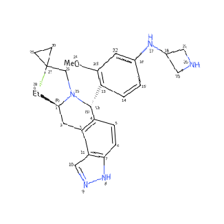 CC[C@@H]1Cc2c(ccc3[nH]ncc23)[C@@H](c2ccc(NC3CNC3)cc2OC)N1CC1(F)CC1